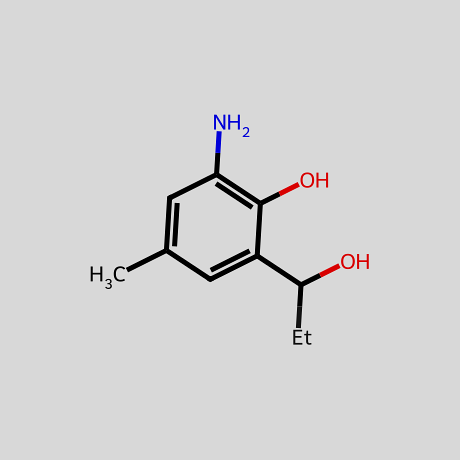 CCC(O)c1cc(C)cc(N)c1O